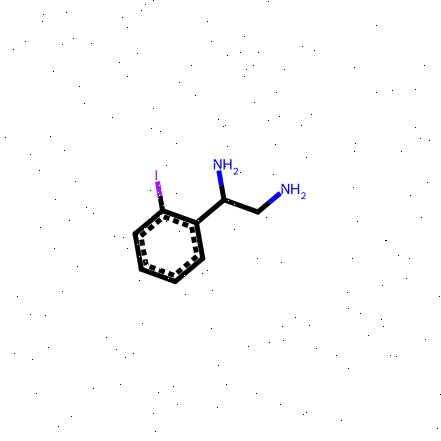 NCC(N)c1ccccc1I